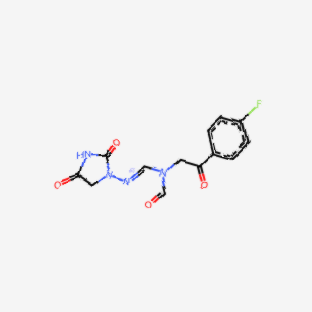 O=CN(/C=N/N1CC(=O)NC1=O)CC(=O)c1ccc(F)cc1